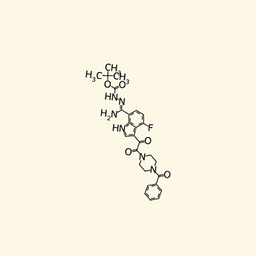 CC(C)(C)OC(=O)N/N=C(\N)c1ccc(F)c2c(C(=O)C(=O)N3CCN(C(=O)c4ccccc4)CC3)c[nH]c12